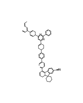 C=C/C(=C\C=C/C)C1=CCC(c2cc(C3=CCC(c4ccc(C(/C=C\C(=C)C5=C6c7ccc(C#N)cc7C7(CCCCC7)C6CC=C5)=C/C)cc4)CC3)nc(-c3ccccc3)n2)C=C1